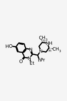 CCCC(c1nc2ccc(O)cc2c(=O)n1CC)N1C[C@@H](C)N[C@@H](C)C1